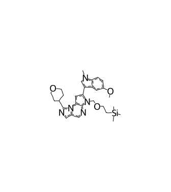 COc1ccc2c(c1)c(-c1cc3c(ncc4cnc(C5CCOCC5)n43)n1COCC[Si](C)(C)C)cn2C